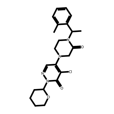 Cc1ccccc1C(C)N1CCN(c2cnn(C3CCCCO3)c(=O)c2Cl)CC1=O